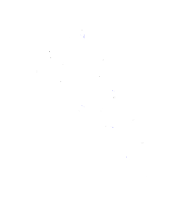 CN1CCN(c2nc3cc(C(C)(C)Cl)c(N)cc3[nH]2)CC1